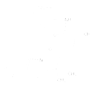 CC(C=C1ON2c3ccccc3CC2C1(C)C)=C1Nc2ccccc2S1